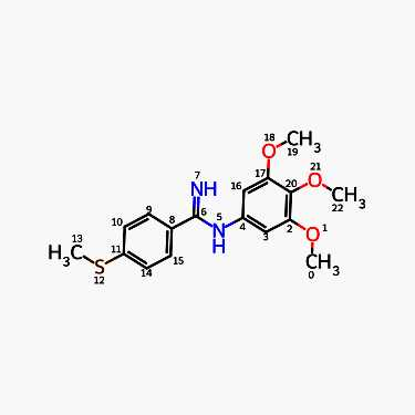 COc1cc(NC(=N)c2ccc(SC)cc2)cc(OC)c1OC